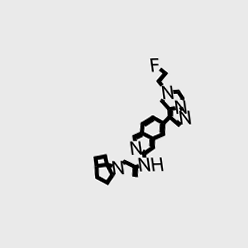 C=C(CN1C2CCC3CCC321)Nc1cc2cc(-c3cnn4c3CN(CCF)CC4)ccc2cn1